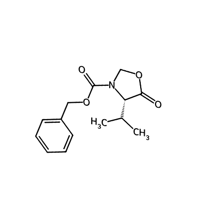 CC(C)[C@H]1C(=O)OCN1C(=O)OCc1ccccc1